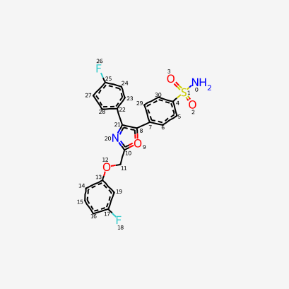 NS(=O)(=O)c1ccc(-c2oc(COc3cccc(F)c3)nc2-c2ccc(F)cc2)cc1